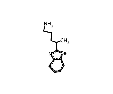 CC(CCCN)c1nc2ccccc2[se]1